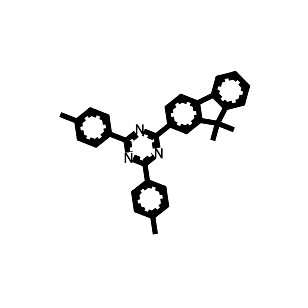 Cc1ccc(-c2nc(-c3ccc(C)cc3)nc(-c3ccc4c(c3)C(C)(C)c3ccccc3-4)n2)cc1